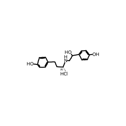 C[C@H](CCc1ccc(O)cc1)NCC(O)c1ccc(O)cc1.Cl